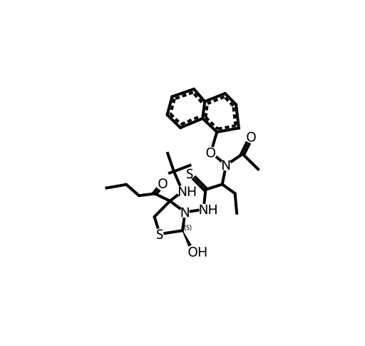 CCCC(=O)C1(NC(C)(C)C)CS[C@H](O)N1NC(=S)C(CC)N(Oc1cccc2ccccc12)C(C)=O